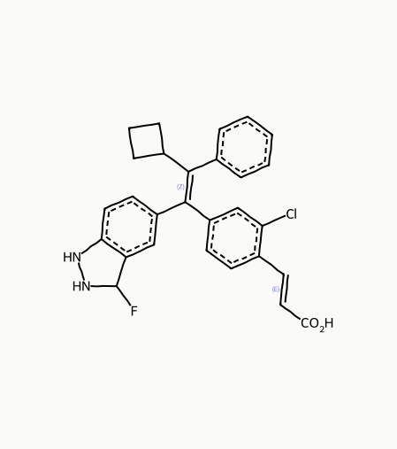 O=C(O)/C=C/c1ccc(/C(=C(\c2ccccc2)C2CCC2)c2ccc3c(c2)C(F)NN3)cc1Cl